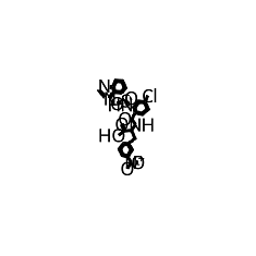 O=C(NC(Cc1cccc([N+](=O)[O-])c1)C(=O)O)c1ccc(Cl)cc1NS(=O)(=O)c1cccc2nccnc12